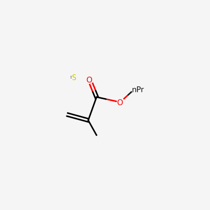 C=C(C)C(=O)OCCC.[S]